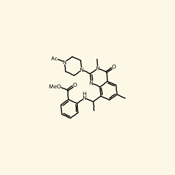 COC(=O)c1ccccc1NC(C)c1cc(C)cc2c(=O)n(C)c(N3CCN(C(C)=O)CC3)nc12